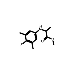 COC(=O)C(C)Nc1cc(C)c(F)c(C)c1